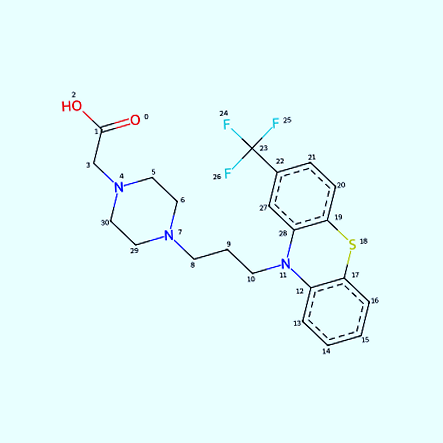 O=C(O)CN1CCN(CCCN2c3ccccc3Sc3ccc(C(F)(F)F)cc32)CC1